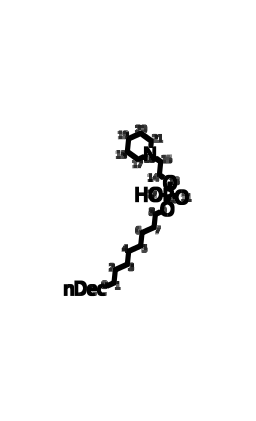 CCCCCCCCCCCCCCCCCCOP(=O)(O)OCCN1CCCCC1